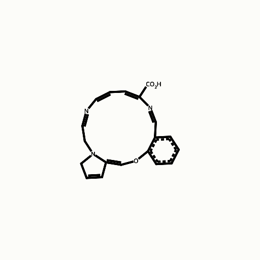 O=C(O)C1=CC=CN=CCN2CC=CC2=COc2ccccc2C=N1